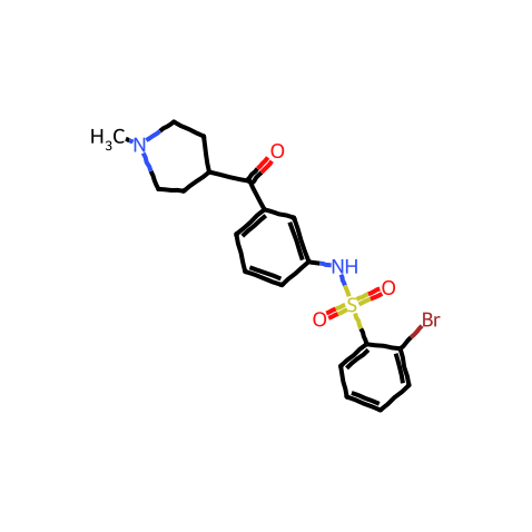 CN1CCC(C(=O)c2cccc(NS(=O)(=O)c3ccccc3Br)c2)CC1